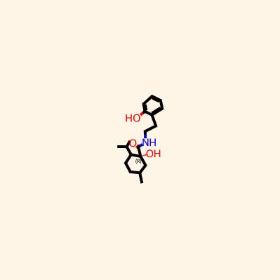 CC1CCC(C(C)C)[C@@](O)(C(=O)NCCc2ccccc2O)C1